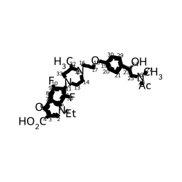 CCn1cc(C(=O)O)c(=O)c2cc(F)c(N3CCN(CCOc4ccc([C@@H](O)CN(C)C(C)=O)cc4)C(C)C3)c(F)c21